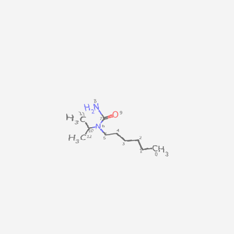 CCCCC[CH]N(C(N)=O)C(C)C